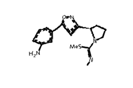 C/N=C(\SC)N1CCC[C@@H]1c1cc(-c2cccc(N)c2)on1